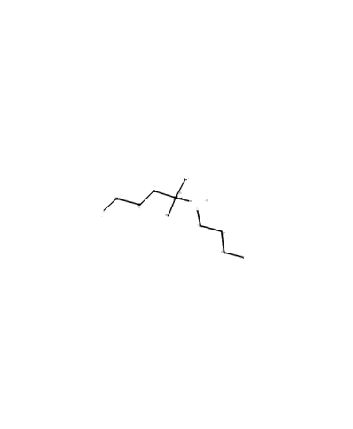 CCCCOC(C)(C)CCCC